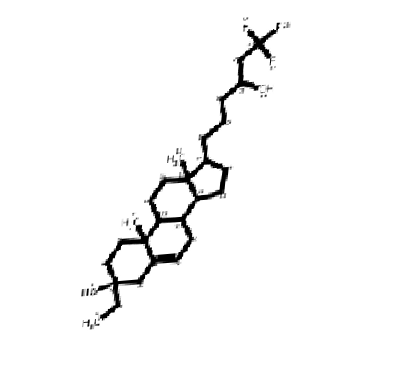 CC[C@]1(O)CCC2(C)C(=CCC3C2CCC2(C)C(CCCC(O)CC(F)(F)F)CCC32)C1